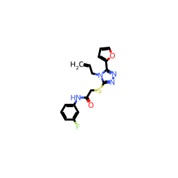 C=CCn1c(SCC(=O)Nc2cccc(F)c2)nnc1-c1ccco1